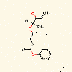 C=CC(=O)C(C)(CC)OCCCC(CC)Oc1ccccc1